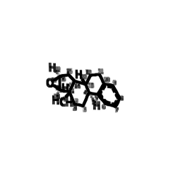 C[C@]12CC[C@@H]3c4ccccc4CC[C@H]3[C@@H]1C[C@@H]1O[C@@H]12